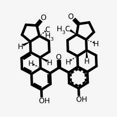 C[C@]12CC[C@H]3C(=CC=C4C=C(O)C=C(C(=O)c5cc(O)cc6c5[C@H]5CC[C@]7(C)C(=O)CC[C@H]7[C@@H]5CC6)[C@@H]43)[C@@H]1CCC2=O